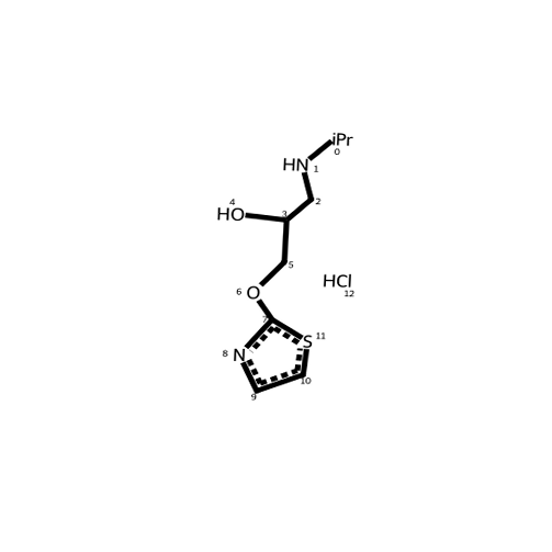 CC(C)NCC(O)COc1nccs1.Cl